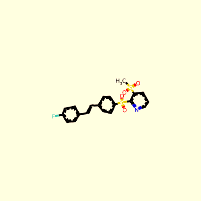 CS(=O)(=O)c1cccnc1S(=O)(=O)c1ccc(/C=C/c2ccc(F)cc2)cc1